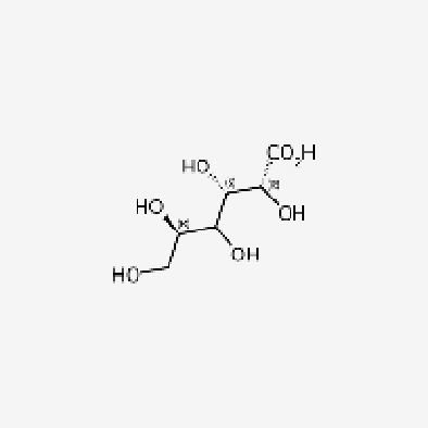 O=C(O)[C@H](O)[C@@H](O)C(O)[C@H](O)CO